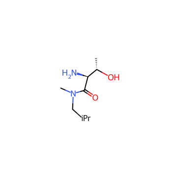 CC(C)CN(C)C(=O)[C@@H](N)[C@H](C)O